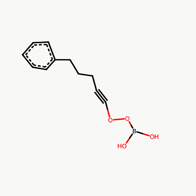 OB(O)OOC#CCCCc1ccccc1